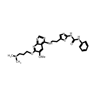 COc1cc2c(NCCc3cnc(NC(=O)Nc4ccccc4)s3)ncnc2nc1OCCCN(C)C